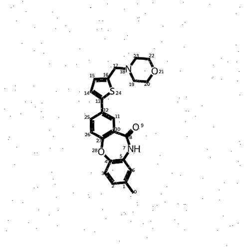 Cc1ccc2c(c1)NC(=O)c1cc(-c3ccc(CN4CCOCC4)s3)ccc1O2